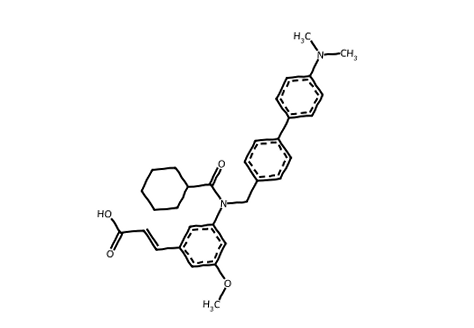 COc1cc(C=CC(=O)O)cc(N(Cc2ccc(-c3ccc(N(C)C)cc3)cc2)C(=O)C2CCCCC2)c1